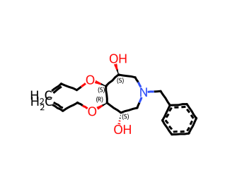 C=CCO[C@@H]1[C@H](OCC=C)[C@@H](O)CN(Cc2ccccc2)C[C@@H]1O